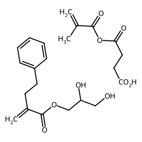 C=C(C)C(=O)OC(=O)CCC(=O)O.C=C(CCc1ccccc1)C(=O)OCC(O)CO